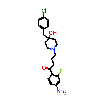 Nc1ccc(C(=O)CCCN2CCC(O)(Cc3ccc(Cl)cc3)CC2)c(F)c1